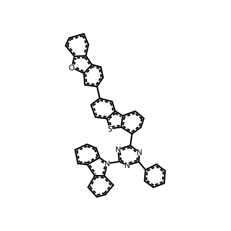 c1ccc(-c2nc(-c3cccc4c3sc3ccc(-c5ccc6c(c5)oc5ccccc56)cc34)nc(-n3c4ccccc4c4ccccc43)n2)cc1